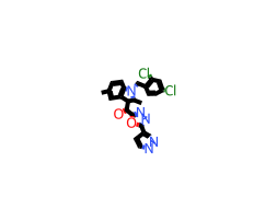 Cc1ccc2c(c1)C(C(=O)c1nnc(-c3ccnnc3)o1)C(C)N2Cc1ccc(Cl)cc1Cl